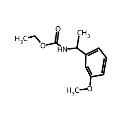 CCOC(=O)NC(C)c1cccc(OC)c1